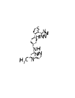 Cc1cc(NCc2ccc(-c3ccsc3-c3nnn[nH]3)cc2)n2nccc2n1